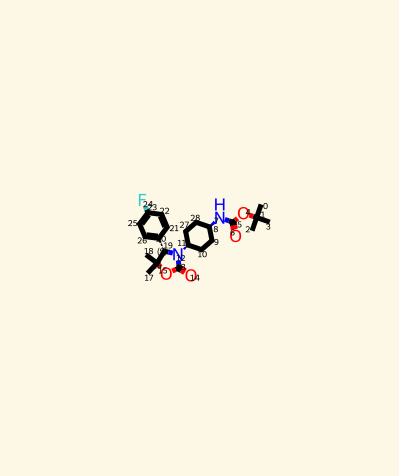 CC(C)(C)OC(=O)N[C@H]1CC[C@H](N2C(=O)OC(C)(C)[C@@H]2c2ccc(F)cc2)CC1